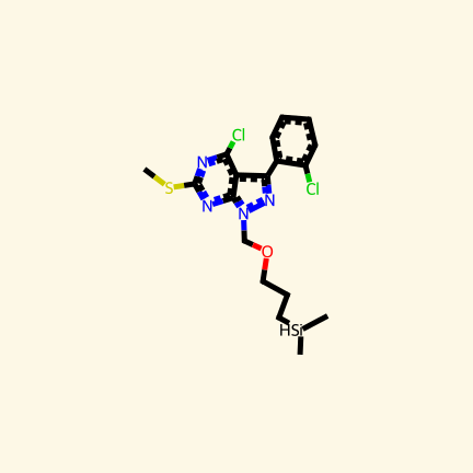 CSc1nc(Cl)c2c(-c3ccccc3Cl)nn(COCCC[SiH](C)C)c2n1